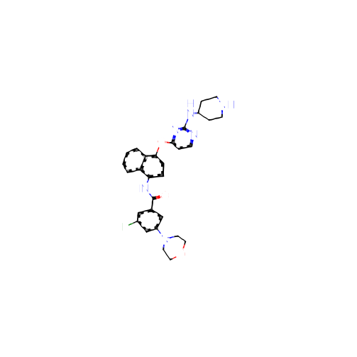 O=C(Nc1ccc(Oc2ccnc(NC3CCNCC3)n2)c2ccccc12)c1cc(F)cc(N2CCOCC2)c1